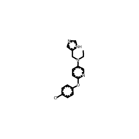 CCN(Cc1cnc[nH]1)c1ccc(Oc2ccc(Cl)cc2)nc1